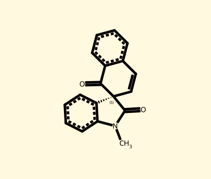 CN1C(=O)[C@@]2(C=Cc3ccccc3C2=O)c2ccccc21